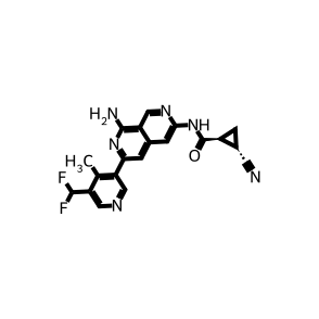 Cc1c(-c2cc3cc(NC(=O)[C@H]4C[C@@H]4C#N)ncc3c(N)n2)cncc1C(F)F